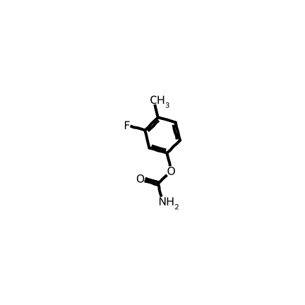 Cc1ccc(OC(N)=O)cc1F